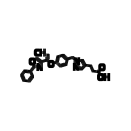 Cc1oc(-c2ccccc2)nc1COc1ccc(Cn2cc(CCC(=O)O)cn2)cc1